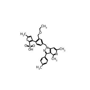 CCOCc1cc(Cn2nc(-c3ccc(C)cc3)c3c(C)nc(C)cc32)ccc1-c1cc(C)sc1S(=O)(=O)O